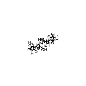 Cc1cn([C@H]2C[C@H](CCN(O)C3OC(n4c(=O)[nH]cc(C)c4=O)CC3O)[C@@H](CO)O2)c(=O)[nH]c1=O